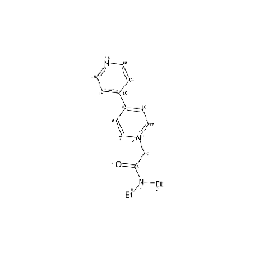 CCN(CC)C(=O)C[n+]1ccc(-c2ccncc2)cc1